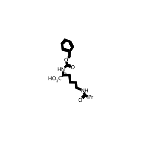 CC(C)C(=O)NCCCC[C@H](NC(=O)OCc1ccccc1)C(=O)O